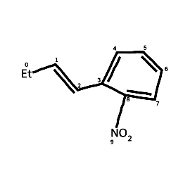 [CH2]CC=Cc1ccccc1[N+](=O)[O-]